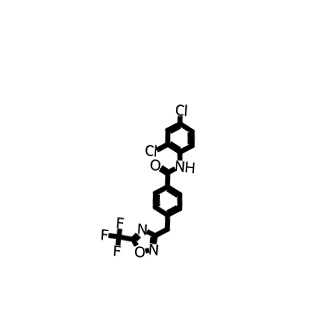 O=C(Nc1ccc(Cl)cc1Cl)c1ccc(Cc2noc(C(F)(F)F)n2)cc1